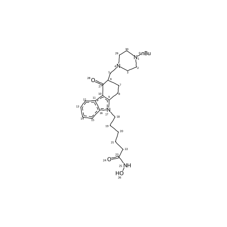 CCCCN1CCN(CC2CCc3c(c4ccccc4n3CCCCCC(=O)NO)C2=O)CC1